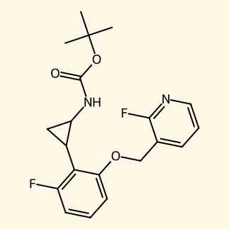 CC(C)(C)OC(=O)NC1CC1c1c(F)cccc1OCc1cccnc1F